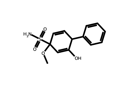 COC1(S(N)(=O)=O)C=CC(c2ccccc2)C(O)=C1